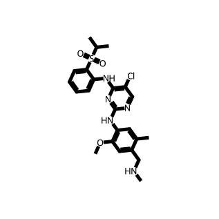 CNCc1cc(OC)c(Nc2ncc(Cl)c(Nc3ccccc3S(=O)(=O)C(C)C)n2)cc1C